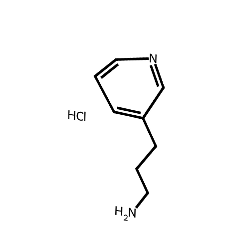 Cl.NCCCc1cccnc1